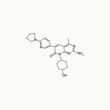 Cc1nc(N)nc2c1cc(-c1ccc(N3CCCC3)nc1)c(=O)n2C1CCC(O)CC1